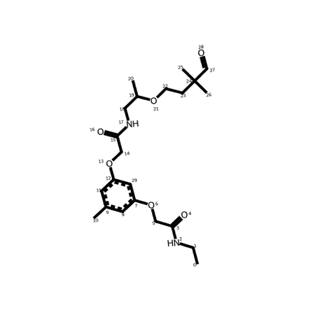 CCNC(=O)COc1cc(C)cc(OCC(=O)NCC(C)OCCC(C)(C)C=O)c1